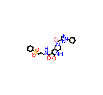 O=C(NC/C=C/S(=O)(=O)c1ccccc1)c1cc2c([nH]c1=O)CCN(C(=O)c1cnn(-c3ccccc3)n1)C2